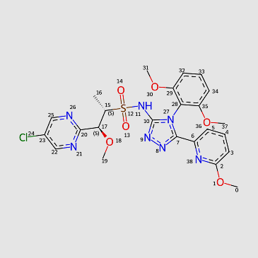 COc1cccc(-c2nnc(NS(=O)(=O)[C@@H](C)[C@@H](OC)c3ncc(Cl)cn3)n2-c2c(OC)cccc2OC)n1